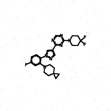 FC1(F)CCN(c2ncnc(-c3cnn(-c4ccc(I)cc4N4CCC5(CC4)CC5)c3)n2)CC1